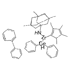 CC1=C(C)C(C)[C]([Zr]([NH]C23CC4(C)CC(C)(CC(C)(C4)C2)C3)[GeH]([c]2ccccc2)[c]2ccccc2)=C1C.c1ccc(-c2ccccc2)cc1